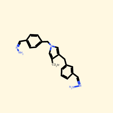 N/N=C\c1ccc(Cn2cc(Cc3cccc(/C=N\N)c3)c(C(=O)O)c2)cc1